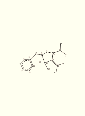 CC(C)=C1N(C(C)C)CN(Cc2ccccc2)C1(C)C